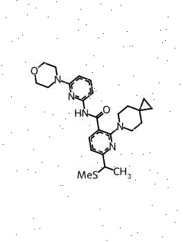 CSC(C)c1ccc(C(=O)Nc2cccc(N3CCOCC3)n2)c(N2CCC3(CC2)CC3)n1